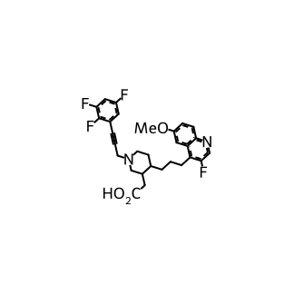 COc1ccc2ncc(F)c(CCCC3CCN(CC#Cc4cc(F)cc(F)c4F)CC3CC(=O)O)c2c1